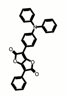 O=C1OC2=C(c3ccc(N(c4ccccc4)c4ccccc4)cc3)C(=O)OC2=C1c1ccccc1